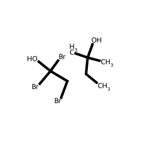 CCC(C)(C)O.OC(Br)(Br)CBr